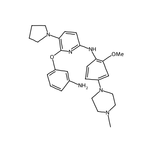 COc1cc(N2CCN(C)CC2)ccc1Nc1ccc(N2CCCC2)c(Oc2cccc(N)c2)n1